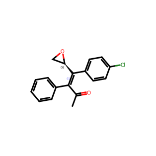 CC(=O)/C(=C(\c1ccc(Cl)cc1)[C@H]1CO1)c1ccccc1